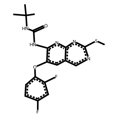 CSc1ncc2cc(Oc3ccc(F)cc3F)c(NC(=O)NC(C)(C)C)nc2n1